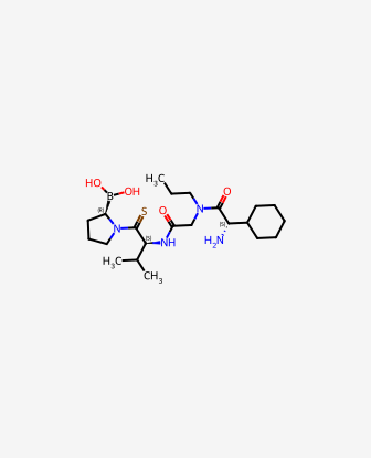 CCCN(CC(=O)N[C@H](C(=S)N1CCC[C@H]1B(O)O)C(C)C)C(=O)[C@@H](N)C1CCCCC1